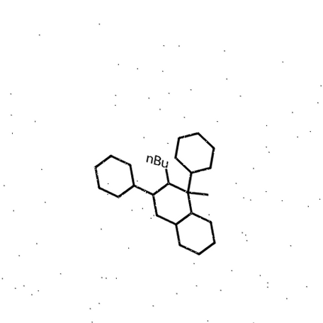 CCCCC1C(C2CCCCC2)CC2CCCCC2C1(C)C1CCCCC1